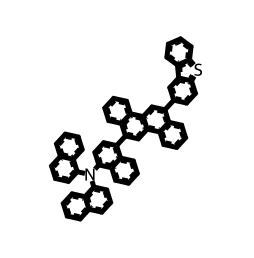 c1ccc2c(N(c3cccc4ccccc34)c3ccc(-c4cc5c6ccccc6c(-c6ccc7sc8ccccc8c7c6)cc5c5ccccc45)c4ccccc34)cccc2c1